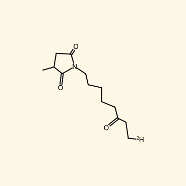 [2H]CCC(=O)CCCCCN1C(=O)CC(C)C1=O